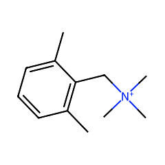 Cc1cccc(C)c1C[N+](C)(C)C